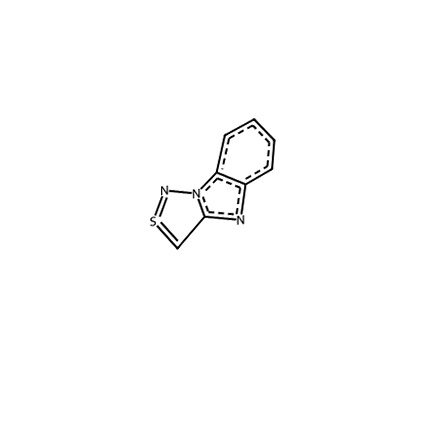 C1=S=Nn2c1nc1ccccc12